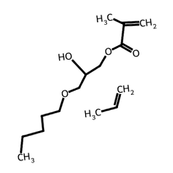 C=C(C)C(=O)OCC(O)COCCCCC.C=CC